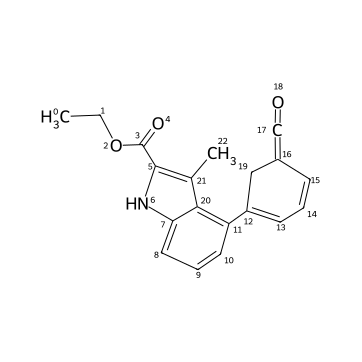 CCOC(=O)c1[nH]c2cccc(C3=CC=CC(=C=O)C3)c2c1C